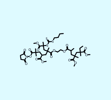 CCCCSC(=S)SC(C)(CC(C)(CC(CC(C)(C)C(=O)ON1C(=O)CCC1=O)C(=O)OC)C(=O)OCCOC(=O)C(C)CC(C)(CC(C)(CC)C(=O)OC)C(=O)OC)C(=O)OC